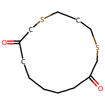 O=C1CCCCCC(=O)CSCCCSC1